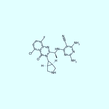 C[C@H](Nc1nc(N)nc(N)c1C#N)c1nc2c(F)ccc(Cl)c2c(=O)n1C1[C@H]2CNC[C@@H]12